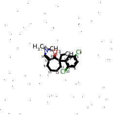 CCC1(c2cc(Cl)ccc2Cl)CCCCC(=CN(C)C)C1=O